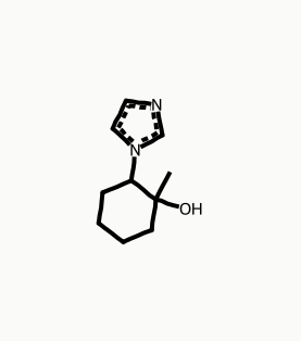 CC1(O)CCCCC1n1ccnc1